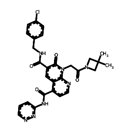 CC1(C)CN(C(=O)Cn2c(=O)c(C(=O)NCc3ccc(Cl)cc3)cc3c(C(=O)Nc4cccnn4)ccnc32)C1